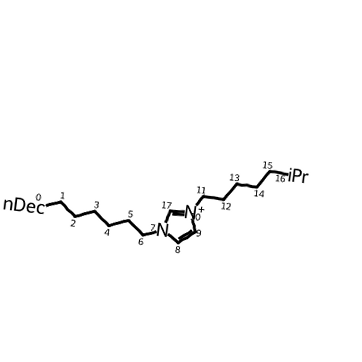 CCCCCCCCCCCCCCCCn1cc[n+](CCCCCC(C)C)c1